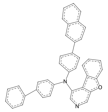 c1ccc(-c2ccc(N(c3ccc(-c4ccc5ccccc5c4)cc3)c3cncc4oc5ccccc5c34)cc2)cc1